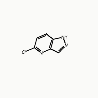 Clc1ccc2[nH]ncc2n1